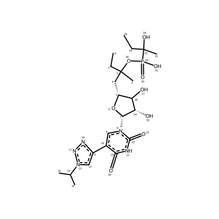 CCC(C)(C[C@H]1O[C@@H](n2cc(-c3cn(C(C)C)nn3)c(=O)[nH]c2=O)[C@@H](O)C1O)OP(=O)(O)C(C)(O)CC